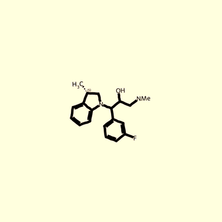 CNCC(O)C(c1cccc(F)c1)N1C[C@@H](C)c2ccccc21